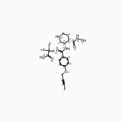 CC#CCOc1ccc(C(=O)N[C@@H]2CNCC[C@@H]2C(=O)NO)cc1.O=C(O)C(F)(F)F